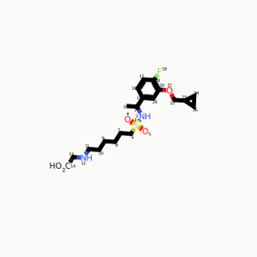 CC(NS(=O)(=O)CCCCCCNCC(=O)O)c1ccc(F)c(OCC2CC2)c1